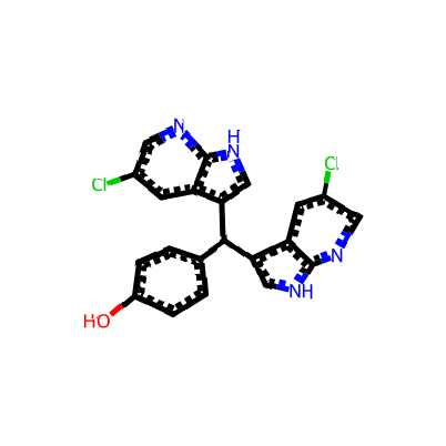 Oc1ccc(C(c2c[nH]c3ncc(Cl)cc23)c2c[nH]c3ncc(Cl)cc23)cc1